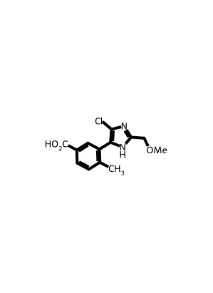 COCc1nc(Cl)c(-c2cc(C(=O)O)ccc2C)[nH]1